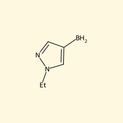 Bc1cnn(CC)c1